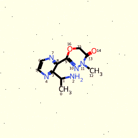 CC(N)c1nccnc1C1=NN(C)C(=O)CO1